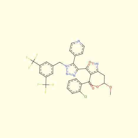 COC(Cc1noc(-c2nnn(Cc3cc(C(F)(F)F)cc(C(F)(F)F)c3)c2-c2ccncc2)c1C(=O)c1ccccc1Cl)OC